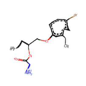 CC(C)CC(COc1ccc(Br)cc1C#N)OC(N)=O